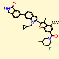 COc1cc(C(=O)N2C[C@H](C)C[C@@H](F)C2)cc2sc(-c3cc4ccc(-c5ccc6c(c5)C(=O)NC6)cc4n3CC3CC3)c(C)c12